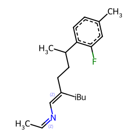 C/C=N\C=C(\CCC(C)c1ccc(C)cc1F)C(C)CC